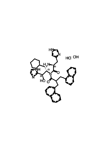 Cl.Cl.N[C@@H](Cc1c[nH]cn1)C(=O)N(C(=O)C(Cc1cccc2ccccc12)Cc1cccc2ccccc12)[C@@H](CC1CCCCC1)[C@@H](O)c1ncc[nH]1